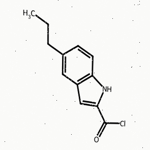 CCCc1ccc2[nH]c(C(=O)Cl)cc2c1